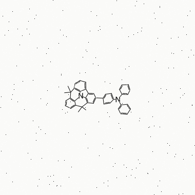 CC1(C)c2cccc3c2-n2c4c1cccc4c1cc(-c4ccc(N(c5ccccc5)c5ccccc5)cc4)cc(c12)C3(C)C